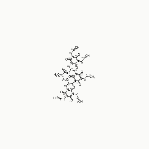 C#CCn1c(=O)n(CC#C)c(=O)n(CC(Cn2c(=O)n(CC=C)c(=O)n(CC(Cn3c(=O)n(CC#C)c(=O)n(CC#C)c3=O)OC(=O)C=C)c2=O)OC(C)=O)c1=O